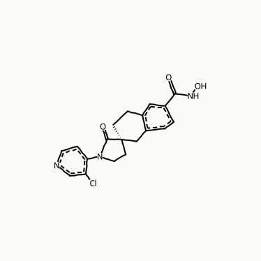 O=C(NO)c1ccc2c(c1)CC[C@@]1(CCN(c3ccncc3Cl)C1=O)C2